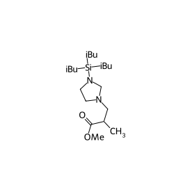 CCC(C)[Si](C(C)CC)(C(C)CC)N1CCN(CC(C)C(=O)OC)C1